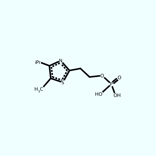 Cc1sc(CCOP(=O)(O)O)nc1C(C)C